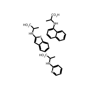 CC(Nc1cc2ccccc2s1)C(=O)O.CC(Nc1cccc2ccccc12)C(=O)O.CC(Nc1ccccn1)C(=O)O